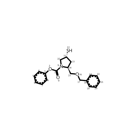 O=C(Oc1ccccc1)N1C[C@H](S)C[C@H]1COCc1ccccc1